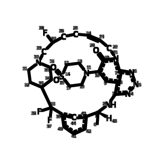 C[C@H]1Nc2nnnc3c2cc(N2CCS(=O)(=O)CC2)c(=O)n3C/C=C\CCC(F)CN2CCC(CC2)C(F)(F)c2cccc1c2